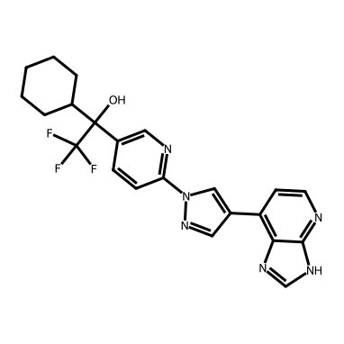 OC(c1ccc(-n2cc(-c3ccnc4[nH]cnc34)cn2)nc1)(C1CCCCC1)C(F)(F)F